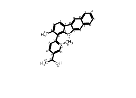 Cc1ccc2c(oc3cc4ccccc4cc32)c1-c1ccc(C(C)O)c[n+]1C